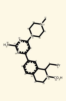 CC(C)CC1c2cc(-c3cc(N4CCN(C)CC4)nc(N)n3)ccc2CCN1C(=O)O